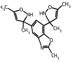 CC1=CC(C)(c2cc(C3(C)C=C(C)ON3)c3oc(C)nc3c2)NO1